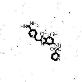 Cl.Cn1c(Cc2ccc(C(=N)N)cc2)nc2cc(NS(=O)(=O)c3cccnc3)ccc21